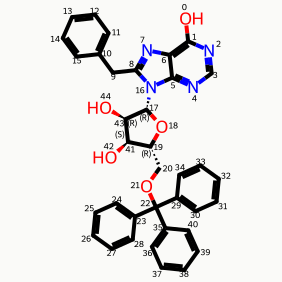 Oc1ncnc2c1nc(Cc1ccccc1)n2[C@@H]1O[C@H](COC(c2ccccc2)(c2ccccc2)c2ccccc2)[C@@H](O)[C@H]1O